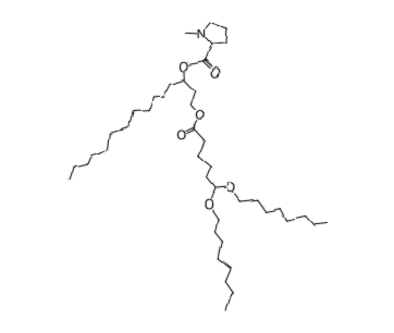 CCCCCCCCCCCCC(CCOC(=O)CCCCC(OCCCCCCCC)OCCCCCCCC)OC(=O)C1CCCN1C